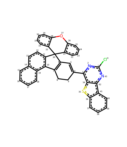 Clc1nc(C2=CC3=C(CC2)c2c(ccc4ccccc24)C32c3ccccc3Oc3ccccc32)c2sc3ccccc3c2n1